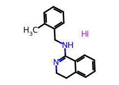 Cc1ccccc1CNC1=NCCc2ccccc21.I